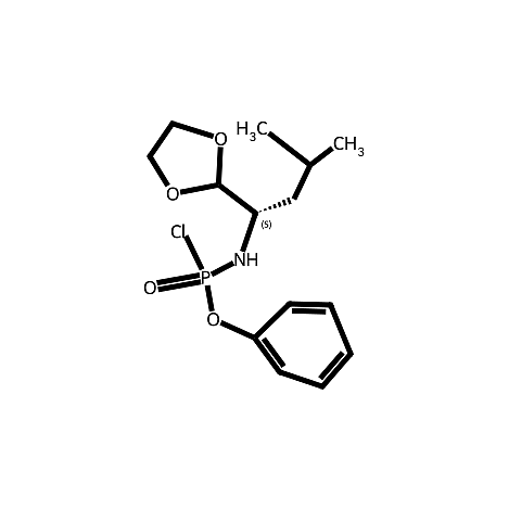 CC(C)C[C@H](NP(=O)(Cl)Oc1ccccc1)C1OCCO1